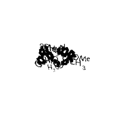 COc1ccc(C2(C#N)CCC(=O)CC2)c2c3cc(NS(=O)(=O)CN(c4ccc5c(c4)c4c(C6(C#N)CCc7ncncc7C6)ccc(OC)c4n5C)S(C)(=O)=O)ccc3n(C)c12